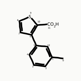 Cc1cccc(-c2ccsc2C(=O)O)c1